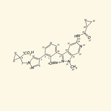 COc1c(-c2cnn(CC3(C(=O)O)CC3)c2)cccc1-c1nn(C)c2cnc(NC(=O)C3CC3)cc12